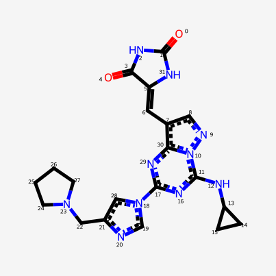 O=C1NC(=O)C(=Cc2cnn3c(NC4CC4)nc(-n4cnc(CN5CCCC5)c4)nc23)N1